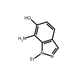 CCn1ncc2ccc(O)c(N)c21